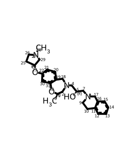 C[C@@H]1CN(C[C@H](O)CN2CCc3ccccc3C2)Cc2ccc(O[C@@H]3CCN(C)C3)cc2O1